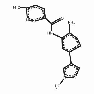 Cc1ccc(C(=O)Nc2cc(-c3cnn(C)c3)ccc2N)nn1